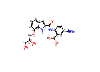 Cn1c(C(=O)Nc2ccc(C#N)cc2C(=O)O)cc2cccc(OC[C@@H](O)CO)c21